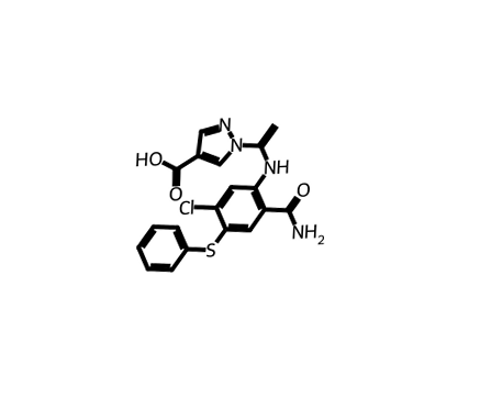 C=C(Nc1cc(Cl)c(Sc2ccccc2)cc1C(N)=O)n1cc(C(=O)O)cn1